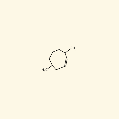 [CH2]C1C=CCC(C)CCC1